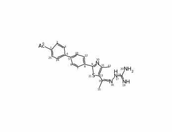 CC(=O)c1ccc(-c2ccc(-c3nc(C)c(/C(C)=N\NC(=N)N)s3)cc2)cc1